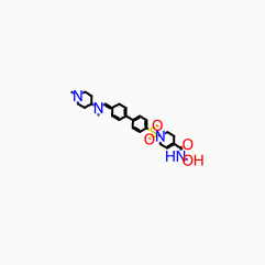 CN1CCC(N(C)C=C2C=CC(c3ccc(S(=O)(=O)N4CC=C(C(=O)NO)CC4)cc3)=CC2)CC1